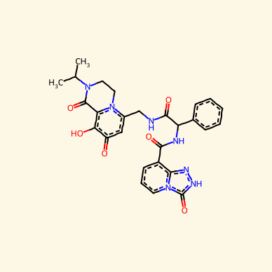 CC(C)N1CCn2c(CNC(=O)C(NC(=O)c3cccn4c(=O)[nH]nc34)c3ccccc3)cc(=O)c(O)c2C1=O